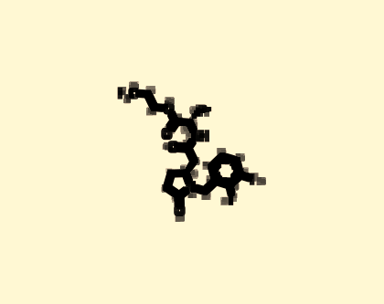 CC(C)[C@H](NC(=O)C[C@@H]1CCC(=O)N1Cc1cccc(F)c1F)C(=O)OCCC(F)(F)F